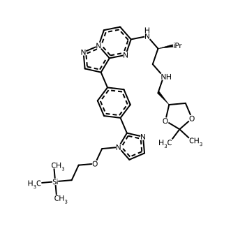 CC(C)[C@@H](CNC[C@H]1COC(C)(C)O1)Nc1ccn2ncc(-c3ccc(-c4nccn4COCC[Si](C)(C)C)cc3)c2n1